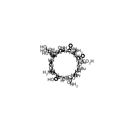 CCCC[C@H]1C(=O)N(C)[C@@H](CCCC)C(=O)N[C@@H](CC(C)C)C(=O)N[C@H](C(=O)NCC(N)=O)CSCC(=O)N[C@@H](Cc2ccc(O)cc2)C(=O)N(C)[C@@H](C)C(=O)N[C@@H](CC(N)=O)C(=O)N2CCC[C@H]2C(=O)N[C@@H](CNC[C@H](O)[C@H](O)[C@H](O)[C@H](O)CO)C(=O)N[C@@H](CC(C)C)C(=O)N2C[C@H](O)C[C@H]2C(=O)N[C@@H](Cc2c[nH]c3ccccc23)C(=O)N[C@@H](CCN)C(=O)N[C@@H](Cc2cn(CC(=O)O)c3ccccc23)C(=O)N1C